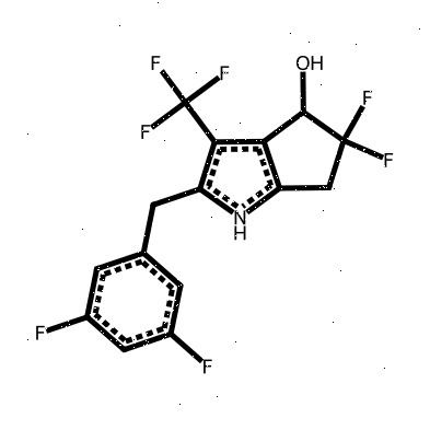 OC1c2c([nH]c(Cc3cc(F)cc(F)c3)c2C(F)(F)F)CC1(F)F